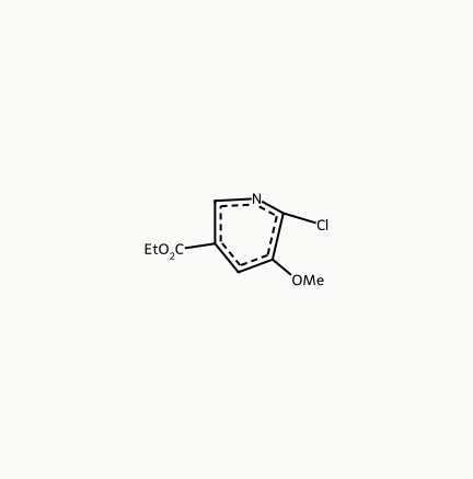 CCOC(=O)c1cnc(Cl)c(OC)c1